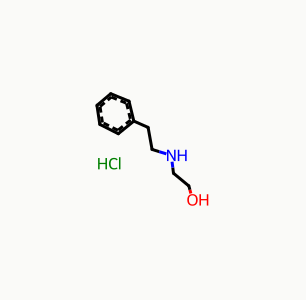 Cl.OCCNCCc1ccccc1